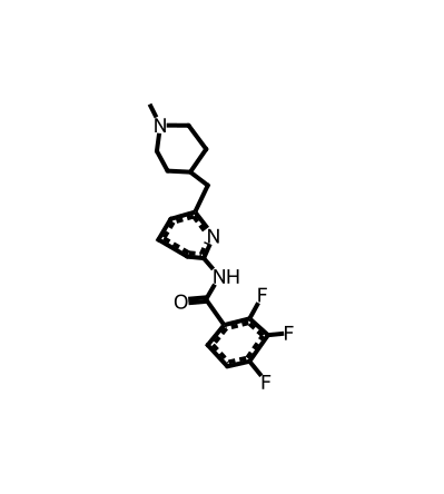 CN1CCC(Cc2cccc(NC(=O)c3ccc(F)c(F)c3F)n2)CC1